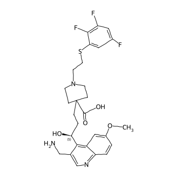 COc1ccc2ncc(CN)c([C@@H](O)CCC3(C(=O)O)CCN(CCSc4cc(F)cc(F)c4F)CC3)c2c1